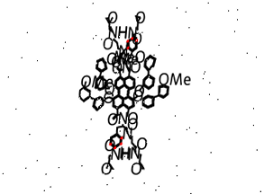 COC1=CC(c2cccc(Oc3cc4c5c(cc(Oc6cccc(-c7cccc(OC)c7)c6)c6c7c(Oc8cccc(-c9cccc(OC)c9)c8)cc8c9c(cc(Oc%10cccc(-c%11cccc(OC)c%11)c%10)c(c3c56)c97)C(=O)N(C(Cc3ccccc3)C(=O)N(CCC(=O)NCC3CO3)CCC(=O)NCC3CO3)C8=O)C(=O)N(C(Cc3ccccc3)C(=O)N(CCC(=O)NCC3CO3)CCC(=O)NCC3CO3)C4=O)c2)=CCC1